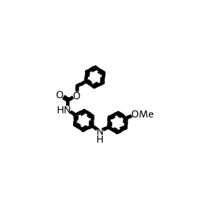 COc1ccc(Nc2ccc(NC(=O)OCc3ccccc3)cc2)cc1